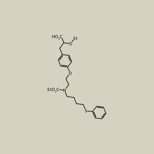 CCOC(=O)N(CCCCSc1ccccc1)CCOc1ccc(CC(OCC)C(=O)O)cc1